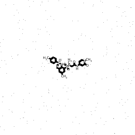 Cc1ccc(S(=O)(=O)Nc2c(I)cc(C)cc2S(=O)(=O)N(C)CC(=O)Nc2ccn(C)c(=O)c2)cc1